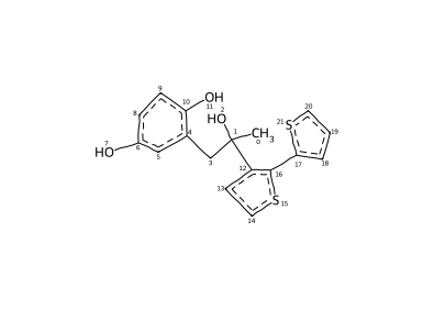 CC(O)(Cc1cc(O)ccc1O)c1ccsc1-c1cccs1